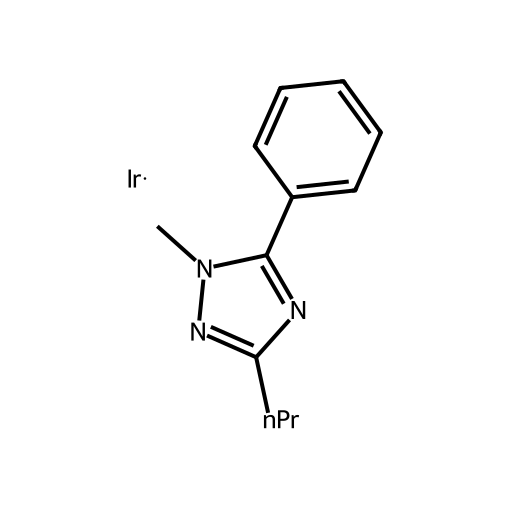 CCCc1nc(-c2ccccc2)n(C)n1.[Ir]